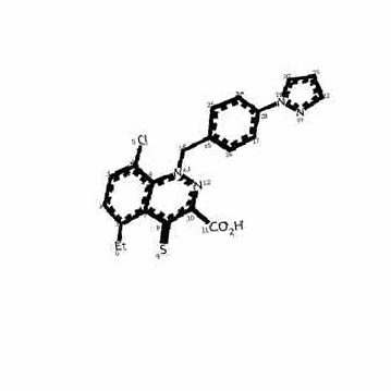 CCc1ccc(Cl)c2c1c(=S)c(C(=O)O)nn2Cc1ccc(-n2cccn2)cc1